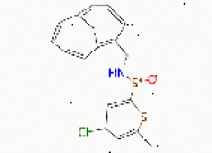 CC1=CC(Cl)C=C([S+]([O-])NCC2=C3C=CC=CC(=CC=C2)C3)S1